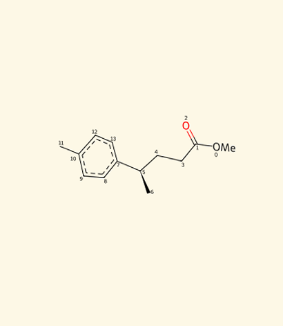 COC(=O)CC[C@@H](C)c1ccc(C)cc1